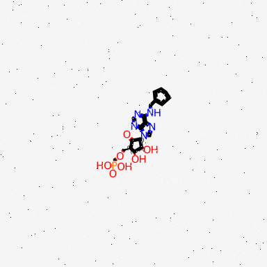 O=C1[C@H](COCP(=O)(O)O)[C@H](O)[C@H](O)[C@H]1n1cnc2c(NCc3ccccc3)ncnc21